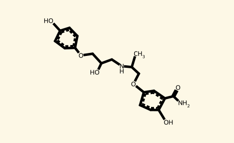 CC(COc1ccc(O)c(C(N)=O)c1)NCC(O)COc1ccc(O)cc1